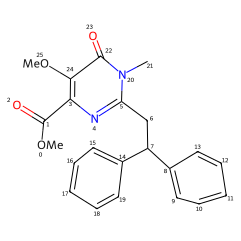 COC(=O)c1nc(CC(c2ccccc2)c2ccccc2)n(C)c(=O)c1OC